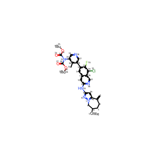 C=C1CCC(OC)Cn2nc(Nc3cc4cc(-c5cncc(N(C(=O)OC(C)(C)C)C(=O)OC(C)(C)C)c5C)c(F)c(Cl)c4cn3)cc21